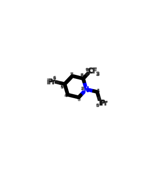 CC(C)CN1CCC(C(C)C)CC1C(F)(F)F